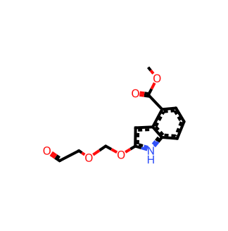 COC(=O)c1cccc2[nH]c(OCOCC=O)cc12